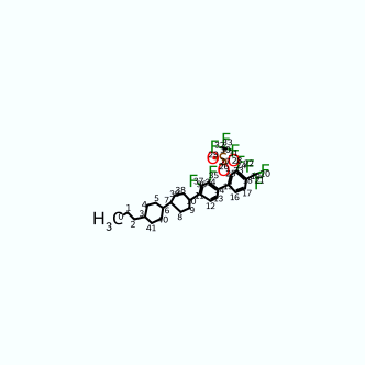 CCCC1CCC(C2CCC(c3ccc(-c4ccc(C(F)(F)F)c(F)c4OS(=O)(=O)C(F)(F)F)c(F)c3F)CC2)CC1